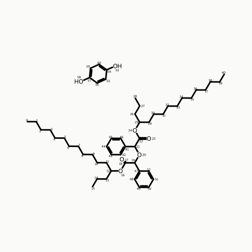 CCCCCCCCCCCCC(CCC)OC(=O)C(OC(C(=O)OC(CCC)CCCCCCCCCCCC)c1ccccc1)c1ccccc1.Oc1ccc(O)cc1